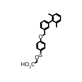 Cc1cccc(C)c1-c1cccc(COc2ccc(SOCC(=O)O)cc2)c1